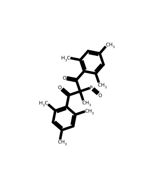 Cc1cc(C)c(C(=O)C(C)(P=O)C(=O)c2c(C)cc(C)cc2C)c(C)c1